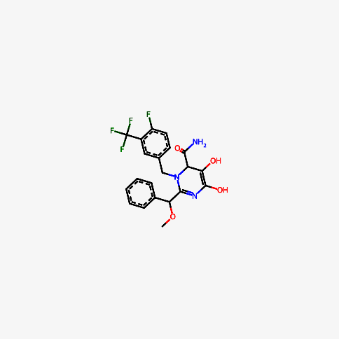 COC(C1=NC(O)=C(O)C(C(N)=O)N1Cc1ccc(F)c(C(F)(F)F)c1)c1ccccc1